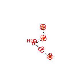 O=C(OCCCCC1COS(=O)(=O)O1)OCCCCC1OC(O)OC1CCCCOS(=O)(=O)OCCCCC1COS(=O)(=O)O1